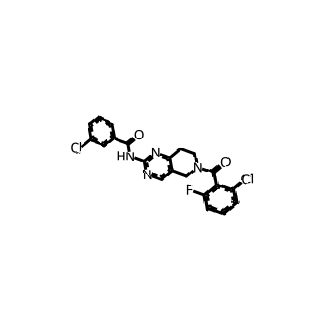 O=C(Nc1ncc2c(n1)CCN(C(=O)c1c(F)cccc1Cl)C2)c1cccc(Cl)c1